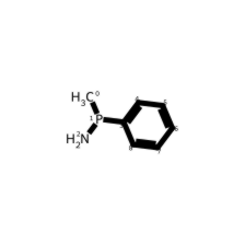 CP(N)c1ccccc1